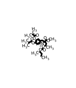 CCC[C@H](C)OC(=O)O[C@@H](C)CC(N)(Cc1ccc(OC(=O)C(C)C)c(OC(=O)C(C)C)c1)C(=O)OC